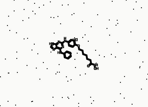 Cl.O=C(CCCCCCOc1ccc(Nc2nc(Nc3ccccc3)c3nc[nH]c3n2)cc1)NO